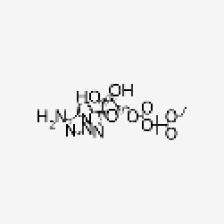 CCOC(=O)C(C)(C)OC(=O)OC[C@H]1O[C@@](C#N)(c2ccc3c(N)ncnn23)[C@H](O)[C@@H]1O